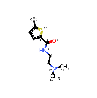 CCc1ccc(C(=O)NCCN(C)C)s1